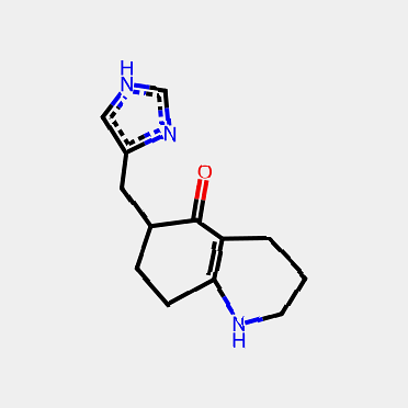 O=C1C2=C(CCC1Cc1c[nH]cn1)NCCC2